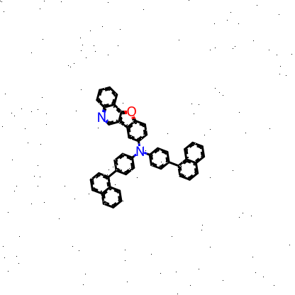 c1ccc2c(-c3ccc(N(c4ccc(-c5cccc6ccccc56)cc4)c4ccc5oc6c7ccccc7ncc6c5c4)cc3)cccc2c1